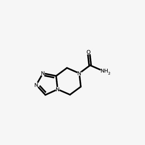 NC(=O)N1CCn2cnnc2C1